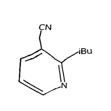 CCC(C)c1ncccc1C#N